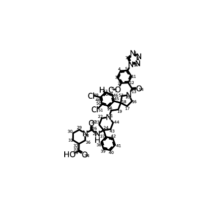 COc1ccc(-n2cnnn2)cc1C(=O)N1CCC(CCN2CCC(NC(=O)N3CCCC(C(=O)O)C3)(c3ccccc3)CC2)(c2ccc(Cl)c(Cl)c2)C1